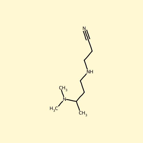 CC(CCNCCC#N)N(C)C